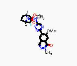 COc1cc2c(=O)n(C)ncc2cc1-c1ncc(N(C)[C@@H]2C[C@H]3CC[C@@H]([C@@H]2F)N3C(=O)OC(C)(C)C)nn1